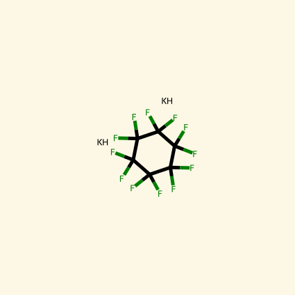 FC1(F)C(F)(F)C(F)(F)C(F)(F)C(F)(F)C1(F)F.[KH].[KH]